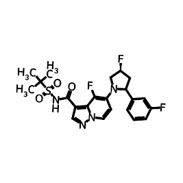 CC(C)(C)S(=O)(=O)NC(=O)c1cnn2ccc(N3C[C@@H](F)CC3c3cccc(F)c3)c(F)c12